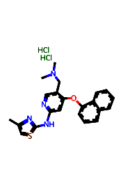 Cc1csc(Nc2cc(Oc3cccc4ccccc34)c(CN(C)C)cn2)n1.Cl.Cl